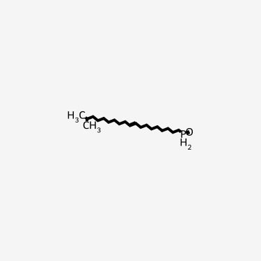 CC(C)CCCCCCCC=CCCCCCCCC[PH2]=O